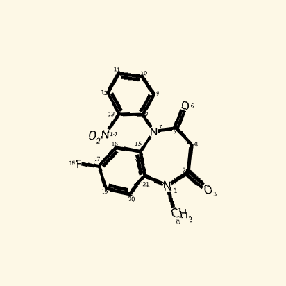 CN1C(=O)CC(=O)N(c2ccccc2[N+](=O)[O-])c2cc(F)ccc21